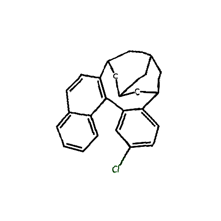 Clc1ccc2c(c1)-c1c(ccc3ccccc13)C1CC3CC(CC2C3)C1